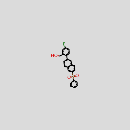 O=S(=O)(c1ccccc1)c1ccc2cc(-c3ccc(F)cc3CO)ccc2c1